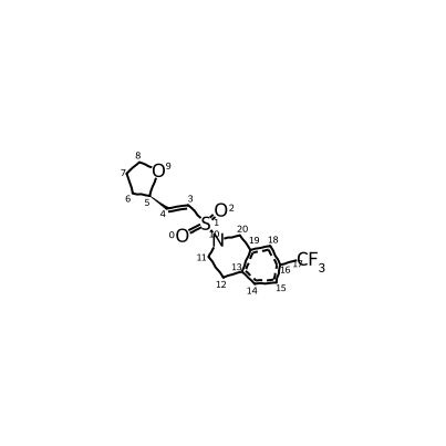 O=S(=O)(/C=C/[C@H]1CCCO1)N1CCc2ccc(C(F)(F)F)cc2C1